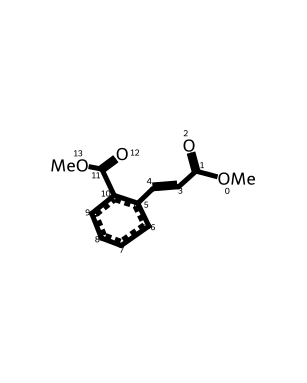 COC(=O)C=Cc1ccccc1C(=O)OC